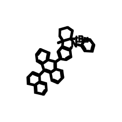 CC(C)(C)C12CCCCC1(C)c1cc(-c3c4ccccc4c(-c4cccc5ccccc45)c4ccccc34)ccc1N2c1ccccc1